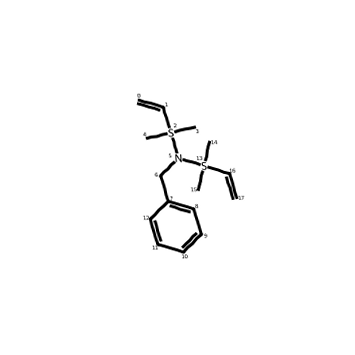 C=CS(C)(C)N(Cc1ccccc1)S(C)(C)C=C